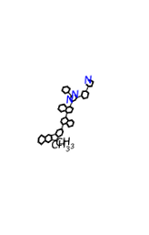 CC1(C)c2ccc(-c3ccc(-c4ccc(-c5cc(-c6cccc(-c7cccnc7)c6)nc(-c6ccccc6)n5)c5ccccc45)c4ccccc34)cc2-c2cc3ccccc3cc21